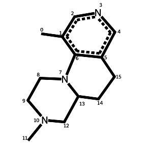 Cc1cncc2c1N1CCN(C)CC1CC2